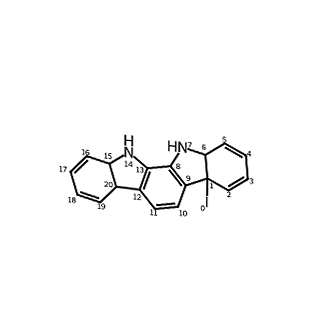 IC12C=CC=CC1Nc1c2ccc2c1NC1C=CC=CC21